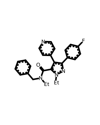 CCN(Cc1ccccc1)C(=O)c1c(-c2ccncc2)c(-c2ccc(F)cc2)nn1CC